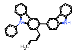 C=C/C=C\c1cc2c(cc1-c1ccc3[nH]c4ccccc4c3c1)c1ccccc1n2-c1ccccc1